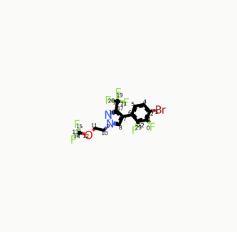 Fc1c(Br)ccc(-c2cn(CCOC(F)F)nc2C(F)(F)F)c1F